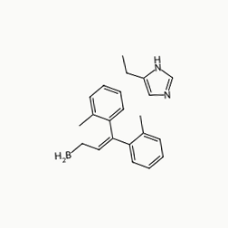 BCC=C(c1ccccc1C)c1ccccc1C.CCc1cnc[nH]1